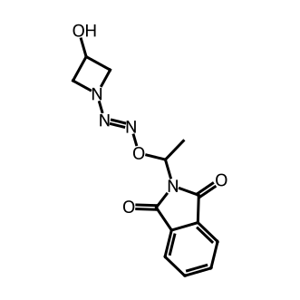 CC(O/N=N/N1CC(O)C1)N1C(=O)c2ccccc2C1=O